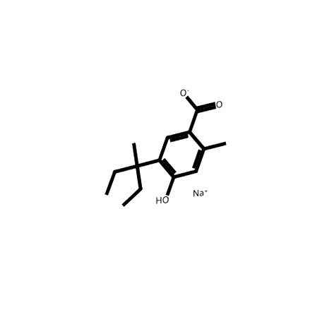 CCC(C)(CC)c1cc(C(=O)[O-])c(C)cc1O.[Na+]